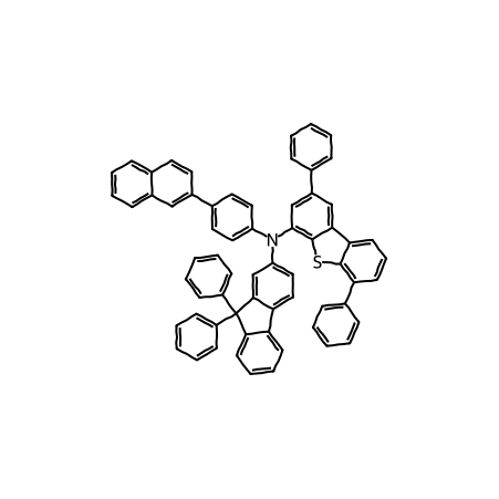 c1ccc(-c2cc(N(c3ccc(-c4ccc5ccccc5c4)cc3)c3ccc4c(c3)C(c3ccccc3)(c3ccccc3)c3ccccc3-4)c3sc4c(-c5ccccc5)cccc4c3c2)cc1